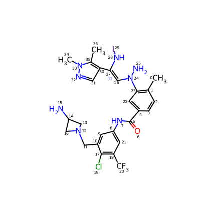 Cc1ccc(C(=O)Nc2cc(CN3CC(N)C3)c(Cl)c(C(F)(F)F)c2)cc1N(N)/C=C(\NI)c1cnn(C)c1C